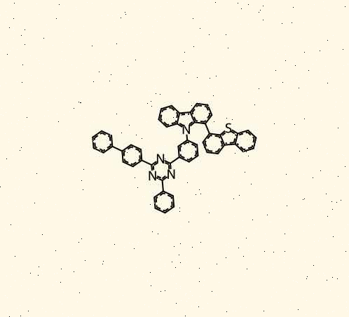 c1ccc(-c2ccc(-c3nc(-c4ccccc4)nc(-c4cccc(-n5c6ccccc6c6cccc(-c7cccc8c7sc7ccccc78)c65)c4)n3)cc2)cc1